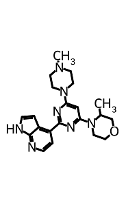 CC1COCCN1c1cc(N2CCN(C)CC2)nc(-c2ccnc3[nH]ccc23)n1